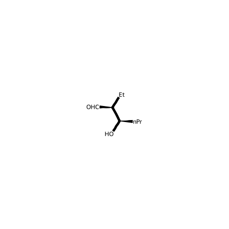 CCC[C@@H](O)[C@@H](C=O)CC